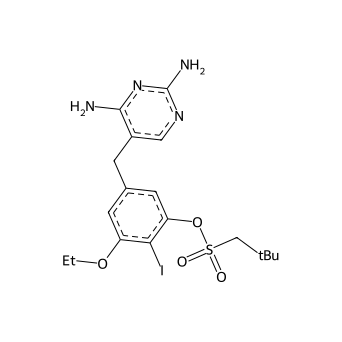 CCOc1cc(Cc2cnc(N)nc2N)cc(OS(=O)(=O)CC(C)(C)C)c1I